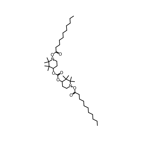 CCCCCCCCCCC(=O)ON1CCC(OC(=O)OC2CCN(OC(=O)CCCCCCCCCC)C(C)(C)C2(C)C)C(C)(C)C1(C)C